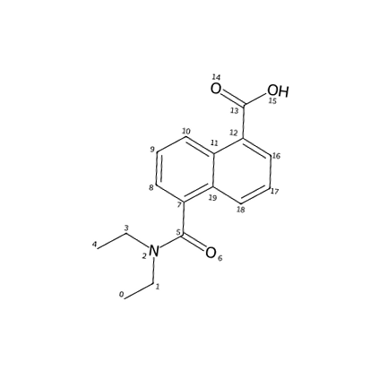 CCN(CC)C(=O)c1cccc2c(C(=O)O)cccc12